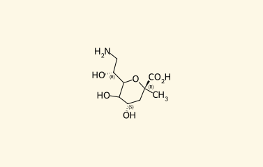 C[C@]1(C(=O)O)C[C@H](O)C(O)C([C@H](O)CN)O1